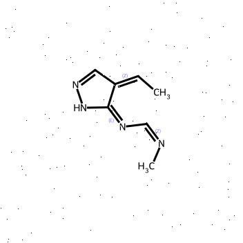 C/C=C1/C=NN/C1=N/C=N\C